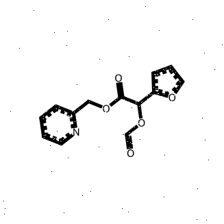 O=[C]OC(C(=O)OCc1ccccn1)c1ccco1